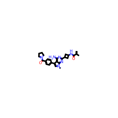 C=C(C)C(=O)NC1CC(c2nc(N)c3c(-c4ccc(C(=O)N5CCCC5)cc4)cn(C)c3n2)C1